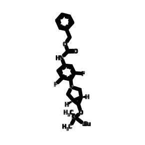 CC(C)(C)[Si](C)(C)OC1[C@H]2CN(c3c(F)cc(NC(=O)OCc4ccccc4)cc3F)C[C@@H]12